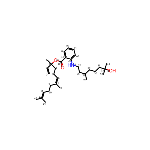 C=CC(C)(CCC=C(C)CCC=C(C)C)OC(=O)c1ccccc1NCCC(C)CCCC(C)(C)O